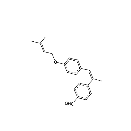 CC(C)=CCOc1ccc(C=C(C)c2ccc(C=O)cc2)cc1